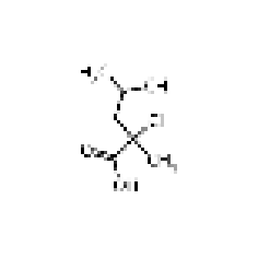 CC(C)CC(C)(Cl)C(=O)O